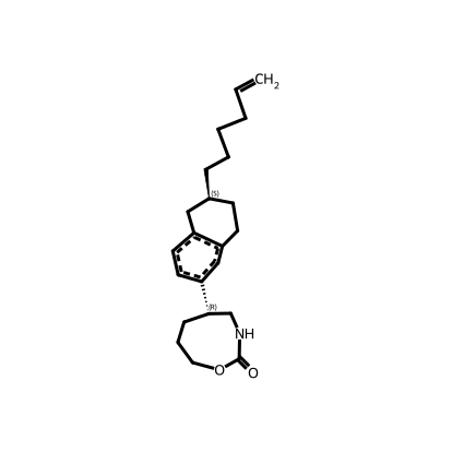 C=CCCCC[C@H]1CCc2cc([C@H]3CCCOC(=O)NC3)ccc2C1